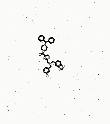 O=C(c1csc(CN(Cc2cccc(C(F)(F)F)c2)Cc2ccc3c(c2)OCO3)n1)N1CCN(C(c2ccccc2)c2ccccc2)CC1